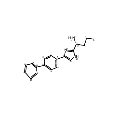 CCC[C@@H](N)c1nc(-c2ccc(-c3ccccc3)cc2)c[nH]1